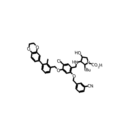 Cc1c(COc2cc(OCc3cccc(C#N)c3)c(CNC3C(O)CN(C(=O)O)C3C(C)(C)C)cc2Cl)cccc1-c1ccc2c(c1)OCCO2